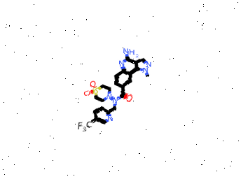 Cn1ncc2c(N)nc3ccc(C(=O)N(Cc4ccc(C(F)(F)F)cn4)N4CCS(=O)(=O)CC4)cc3c21